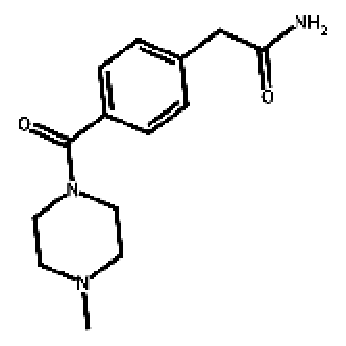 CN1CCN(C(=O)c2ccc(CC(N)=O)cc2)CC1